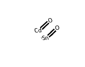 [O]=[Cd].[O]=[Sn]